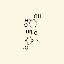 CCc1cc(OC)ccc1C(=O)NC1CCC(O)NC1=O